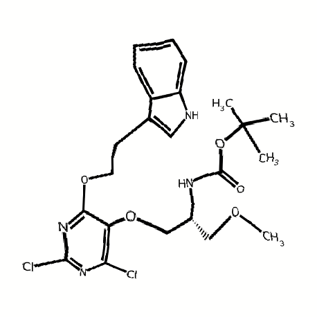 COC[C@H](COc1c(Cl)nc(Cl)nc1OCCc1c[nH]c2ccccc12)NC(=O)OC(C)(C)C